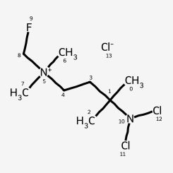 CC(C)(CC[N+](C)(C)CF)N(Cl)Cl.[Cl-]